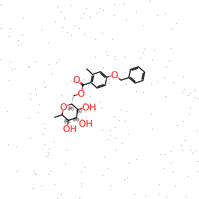 Cc1cc(OCc2ccccc2)ccc1C(=O)OC[C@H]1OC(C)[C@H](O)[C@@H](O)[C@@H]1O